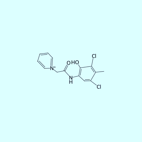 Cc1c(Cl)cc(NC(=O)C[n+]2ccccc2)c(O)c1Cl